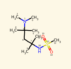 CN(C)C(C)(C)CC(C)(C)NS(C)(=O)=O